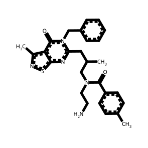 Cc1ccc(C(=O)N(CCN)CC(C)Cc2nc3snc(C)c3c(=O)n2Cc2ccccc2)cc1